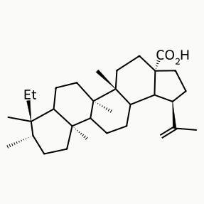 C=C(C)[C@@H]1CC[C@]2(C(=O)O)CC[C@]3(C)C(CCC4[C@@]5(C)CC[C@H](C)[C@@](C)(CC)C5CC[C@]43C)C12